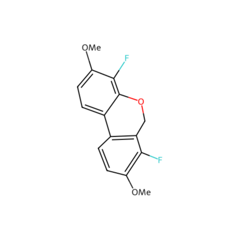 COc1ccc2c(c1F)COc1c-2ccc(OC)c1F